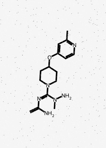 C=C(N)/N=C(\N(C)N)N1CCC(Oc2ccnc(C)c2)CC1